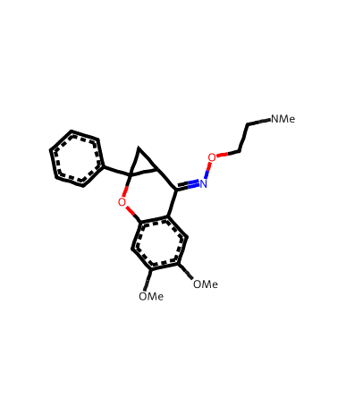 CNCCON=C1c2cc(OC)c(OC)cc2OC2(c3ccccc3)CC12